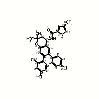 CC1(C)C[C@@H](NC(=O)c2cc(C(F)(F)F)n[nH]2)c2cc(-c3ccc(Cl)cc3)c(-c3ccc(Cl)cc3Cl)nc2O1